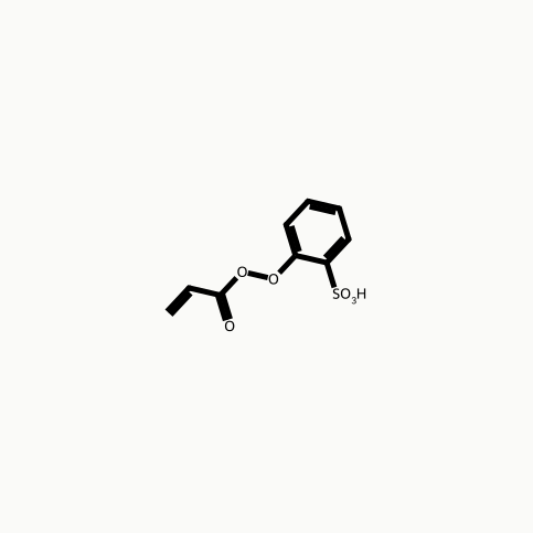 C=CC(=O)OOc1ccccc1S(=O)(=O)O